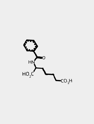 O=C(O)CCCCC(NC(=O)c1ccccc1)C(=O)O